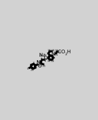 Cc1ccc(-c2nc(CCOc3cccc4c3CCCN4CCC(=O)O)c(C)o2)cc1.[Na]